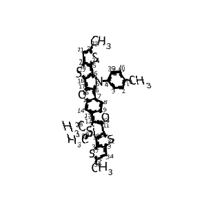 Cc1ccc(-n2c3c4cc5oc6c(c5cc4oc3c3sc4cc(C)sc4c32)[Si](C)(C)c2c-6sc3cc(C)sc23)cc1